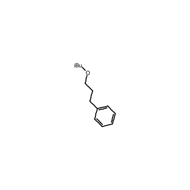 CCC(C)OCCCc1ccccc1